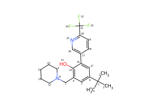 CC(C)(C)c1cc(CN2CCCCC2)c(O)c(-c2ccc(C(F)(F)F)nc2)c1